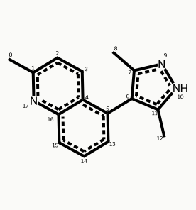 Cc1ccc2c(-c3c(C)n[nH]c3C)cccc2n1